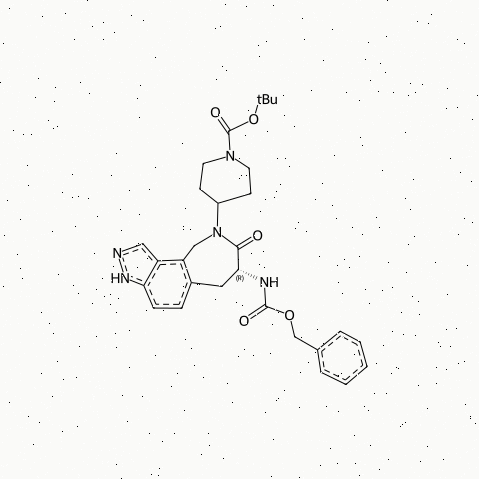 CC(C)(C)OC(=O)N1CCC(N2Cc3c(ccc4[nH]ncc34)C[C@@H](NC(=O)OCc3ccccc3)C2=O)CC1